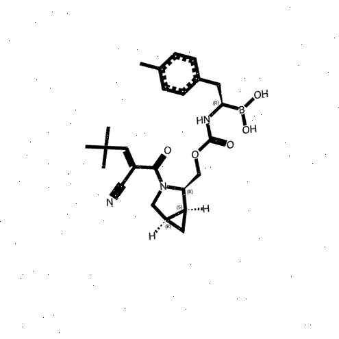 Cc1ccc(C[C@H](NC(=O)OC[C@H]2[C@H]3C[C@H]3CN2C(=O)C(C#N)=CC(C)(C)C)B(O)O)cc1